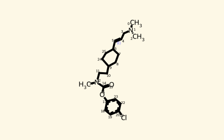 CN(C)C/C=C/C1CCC(CCN(C)C(=O)Oc2ccc(Cl)cc2)CC1